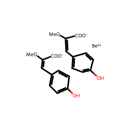 COC(=Cc1ccc(O)cc1)C(=O)[O-].COC(=Cc1ccc(O)cc1)C(=O)[O-].[Be+2]